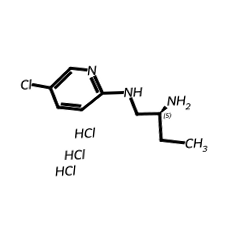 CC[C@H](N)CNc1ccc(Cl)cn1.Cl.Cl.Cl